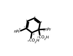 CCCC1=CC=CC(CCC)(C(=O)O)C1C(=O)O